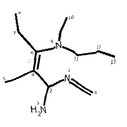 C=NC(N)/C(C)=C(/CC)N(C)CCC